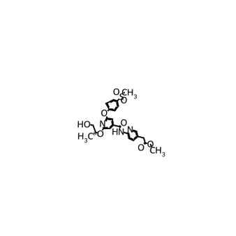 COC(=O)Cc1ccc(NC(=O)c2cc(Oc3ccc(S(C)(=O)=O)cc3)nc(O[C@H](C)CO)c2)nc1